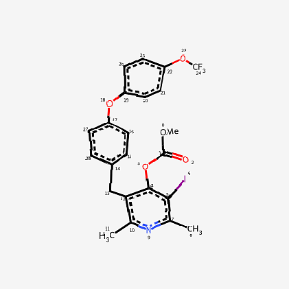 COC(=O)Oc1c(I)c(C)nc(C)c1Cc1ccc(Oc2ccc(OC(F)(F)F)cc2)cc1